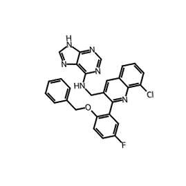 Fc1ccc(OCc2ccccc2)c(-c2nc3c(Cl)cccc3cc2CNc2ncnc3[nH]cnc23)c1